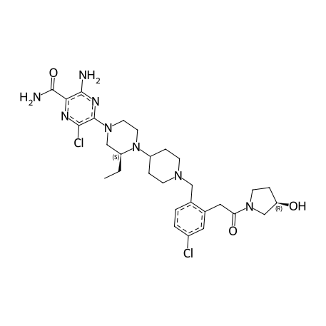 CC[C@H]1CN(c2nc(N)c(C(N)=O)nc2Cl)CCN1C1CCN(Cc2ccc(Cl)cc2CC(=O)N2CC[C@@H](O)C2)CC1